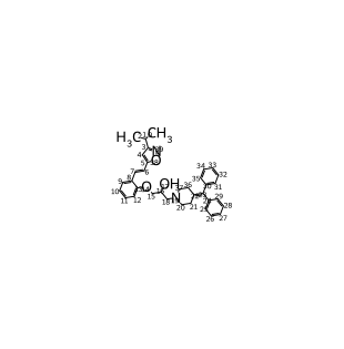 CC(C)c1cc(/C=C/c2ccccc2OCC(O)CN2CCC(=C(c3ccccc3)c3ccccc3)CC2)on1